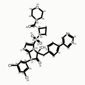 C[C@@]1(Cc2ccc(-c3cncnc3)cc2)C(=O)N(c2cc(Cl)cc(Cl)c2)c2ncc(S(=O)(=O)N3CC[C@H]3C(=O)N3CCOCC3)n21